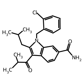 CC(C)Cc1c(C(=O)C(C)C)c2ccc(C(N)=O)cc2n1Cc1ccccc1Cl